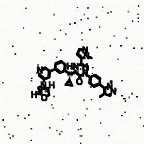 Cc1cnn(C)c1-c1ccc(NC(=O)[C@@H](NC(=O)c2ccnn2C)[C@@H](c2cccc(-c3cncc(N4C[C@@H]5C[C@H]4CO5)c3)c2)C2CC2)cc1